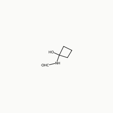 O=[C]NC1(O)CCC1